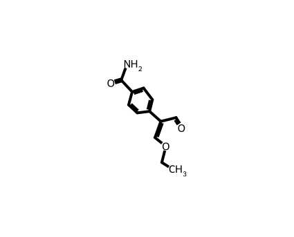 CCOC=C(C=O)c1ccc(C(N)=O)cc1